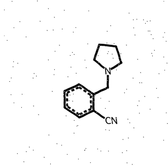 N#Cc1ccccc1CN1CCCC1